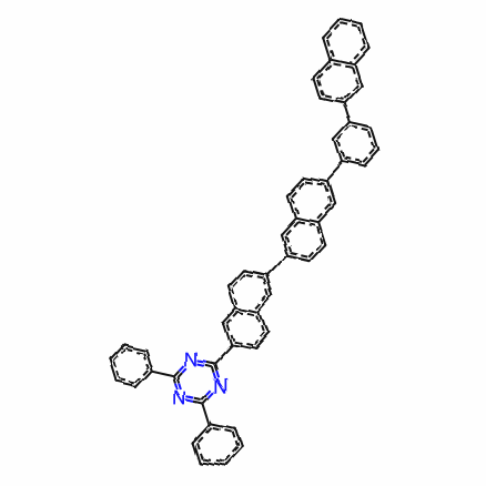 c1ccc(-c2nc(-c3ccccc3)nc(-c3ccc4cc(-c5ccc6cc(-c7cccc(-c8ccc9ccccc9c8)c7)ccc6c5)ccc4c3)n2)cc1